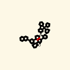 c1ccc(C2(c3ccccc3)c3ccccc3-c3ccc(N(c4ccc(-c5cccc(-c6ccc7ccccc7c6)c5)cc4)c4ccccc4-c4ccc5c(c4)oc4ccccc45)cc32)cc1